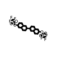 O=S(=O)(Oc1ccc2cc(-c3ccc4cc(OS(=O)(=O)C(F)(F)F)ccc4c3)ccc2c1)C(F)(F)F